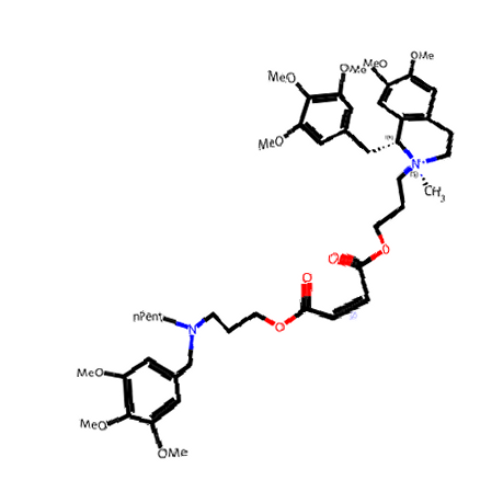 CCCCCN(CCCOC(=O)/C=C\C(=O)OCCC[N@+]1(C)CCc2cc(OC)c(OC)cc2[C@H]1Cc1cc(OC)c(OC)c(OC)c1)Cc1cc(OC)c(OC)c(OC)c1